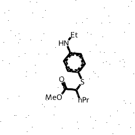 CCCC(Sc1ccc(NCC)cc1)C(=O)OC